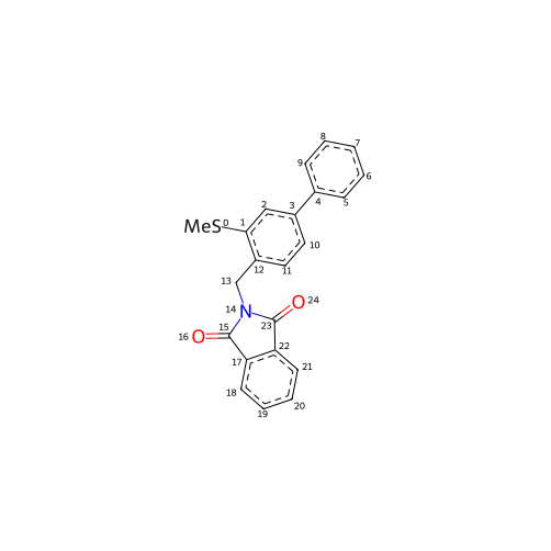 CSc1cc(-c2ccccc2)ccc1CN1C(=O)c2ccccc2C1=O